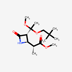 COC(=O)[C@H](C)[C@H]1NC(=O)[C@@H]1C(C)(OC)OCC(C)(C)C